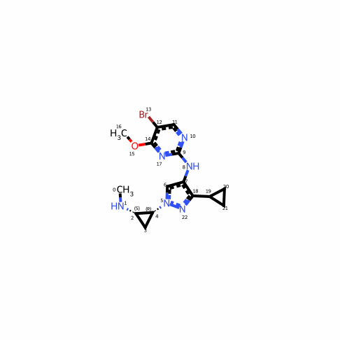 CN[C@H]1C[C@H]1n1cc(Nc2ncc(Br)c(OC)n2)c(C2CC2)n1